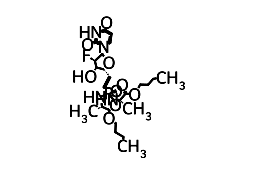 CCCCOC(=O)[C@H](C)NP(=O)(/C=C/[C@H]1OC(n2ccc(=O)[nH]c2=O)[C@H](F)[C@@H]1O)N[C@@H](C)C(=O)OCCCC